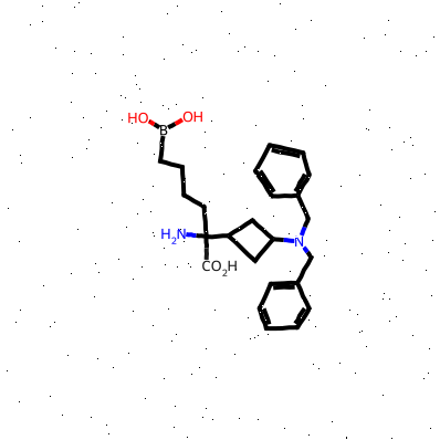 NC(CCCCB(O)O)(C(=O)O)C1CC(N(Cc2ccccc2)Cc2ccccc2)C1